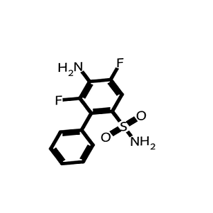 Nc1c(F)cc(S(N)(=O)=O)c(-c2ccccc2)c1F